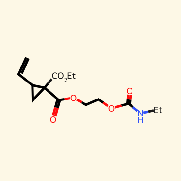 C=CC1CC1(C(=O)OCC)C(=O)OCCOC(=O)NCC